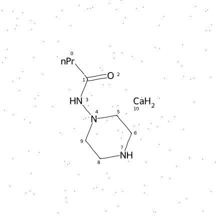 CCCC(=O)NN1CCNCC1.[CaH2]